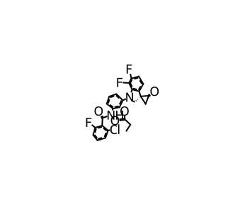 CCC(=O)Oc1c(NC(=O)c2c(F)cccc2Cl)cccc1N1C[C@]2(CC2=O)c2ccc(F)c(F)c21